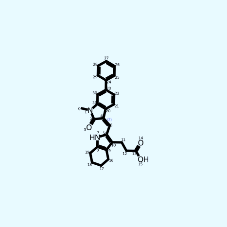 CN1C(=O)/C(=C\c2[nH]c3c(c2CCC(=O)O)CCCC3)c2ccc(-c3ccccc3)cc21